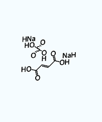 O=C(O)/C=C/C(=O)O.O=S(=O)(O)O.[NaH].[NaH]